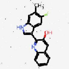 Cc1cc2[nH]cc(-c3nc4ccccc4cc3O)c2cc1F